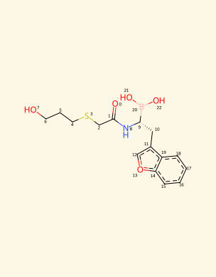 O=C(CSCCCO)N[C@@H](Cc1coc2ccccc12)B(O)O